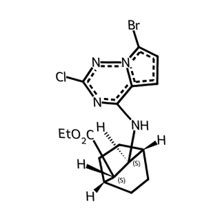 CCOC(=O)[C@H]1[C@H]2CC[C@H](CC2)[C@@H]1Nc1nc(Cl)nn2c(Br)ccc12